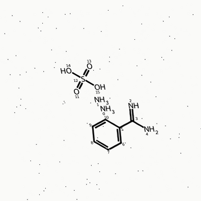 N.N.N=C(N)c1ccccc1.O=S(=O)(O)O